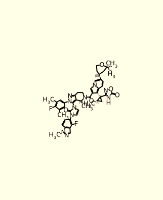 Cc1cc(-n2nc3c(c2-n2ccn(-c4ccc5c(cnn5C)c4F)c2=O)[C@H](C)N(C(=O)c2cn4cc([C@H]5CCOC(C)(C)C5)ccc4c2[C@]2(c4noc(=O)[nH]4)C[C@@H]2C)CC3)cc(C)c1F